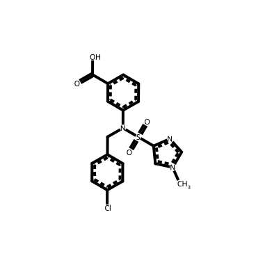 Cn1cnc(S(=O)(=O)N(Cc2ccc(Cl)cc2)c2cccc(C(=O)O)c2)c1